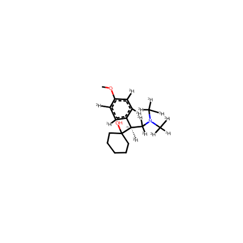 [2H]c1c([2H])c([C@]([2H])(C2(O)CCCCC2)C([2H])([2H])N(C([2H])([2H])[2H])C([2H])([2H])[2H])c([2H])c([2H])c1OC